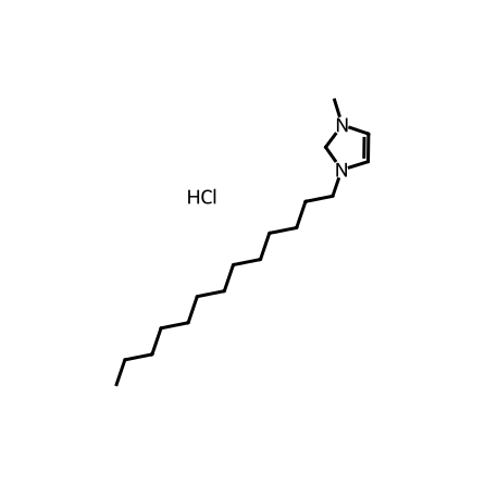 CCCCCCCCCCCCCN1C=CN(C)C1.Cl